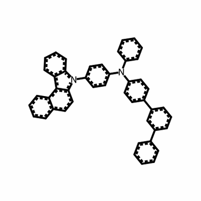 c1ccc(-c2cccc(-c3ccc(N(c4ccccc4)c4ccc(-n5c6ccccc6c6c7ccccc7ccc65)cc4)cc3)c2)cc1